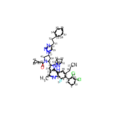 Cc1nc2c(F)c(-c3cccc(Cl)c3Cl)c(CCC#N)cc2c2c1cc(C1CC(n3cc(CCc4ccccc4)nn3)CN1C(=O)C1CC1)n2C1C2CNC1C2